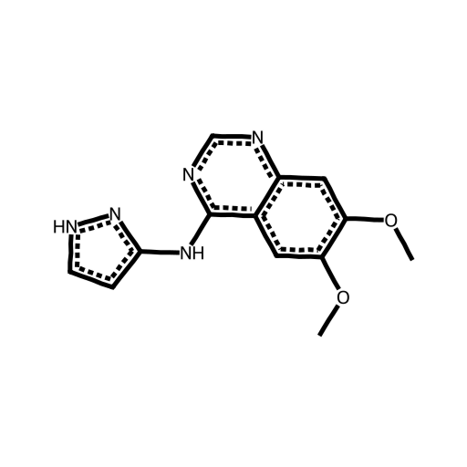 COc1cc2ncnc(Nc3cc[nH]n3)c2cc1OC